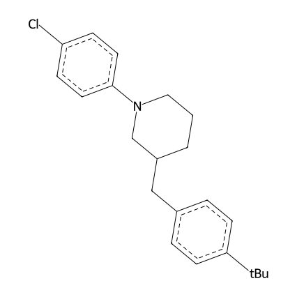 CC(C)(C)c1ccc(CC2CCCN(c3ccc(Cl)cc3)C2)cc1